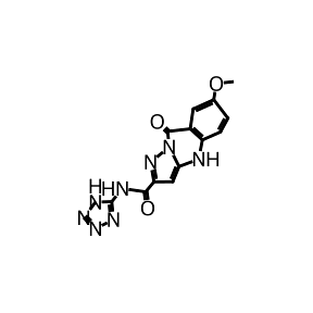 COc1ccc2[nH]c3cc(C(=O)Nc4nnn[nH]4)nn3c(=O)c2c1